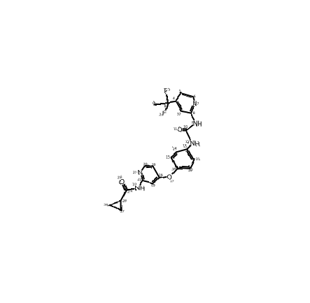 CC(F)(F)c1ccnc(NC(=O)Nc2ccc(Oc3ccnc(NC(=O)C4CC4)c3)cc2)c1